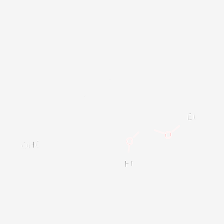 C=CCC1CCC(c2ccc(C=O)cc2)CC1.CCOC(C)OCC